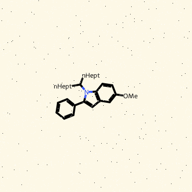 CCCCCCCC(CCCCCCC)n1c(-c2ccccc2)cc2cc(OC)ccc21